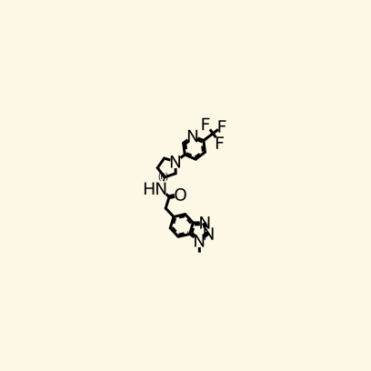 Cn1nnc2cc(CC(=O)N[C@@H]3CCN(c4ccc(C(F)(F)F)nc4)C3)ccc21